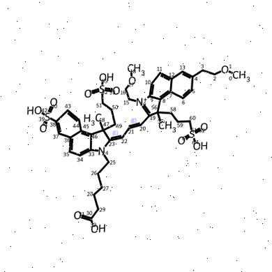 COCCc1ccc2c3c(ccc2c1)[N+](CCOC)=C(/C=C/C=C1/N(CCCCCC(=O)O)c2ccc4cc(S(=O)(=O)O)ccc4c2C1(C)CCCS(=O)(=O)O)C3(C)CCCS(=O)(=O)O